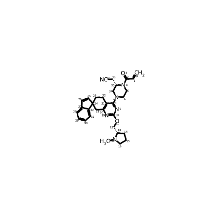 C=CC(=O)N1CCN(c2nc(OC[C@@H]3CCCN3C)nc3c2CCC2(C=Cc4ccccc42)C3)C[C@@H]1CC#N